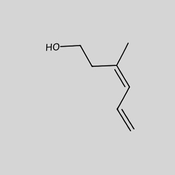 C=CC=C(C)CCO